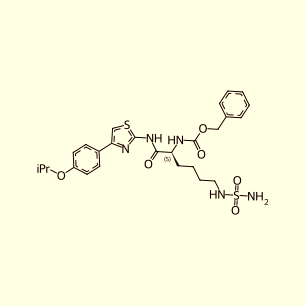 CC(C)Oc1ccc(-c2csc(NC(=O)[C@H](CCCCNS(N)(=O)=O)NC(=O)OCc3ccccc3)n2)cc1